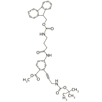 COC(=O)c1ccc(NC(=O)CCCNC(=O)OCC2c3ccccc3-c3ccccc32)cc1C#CCNC(=O)OC(C)(C)C